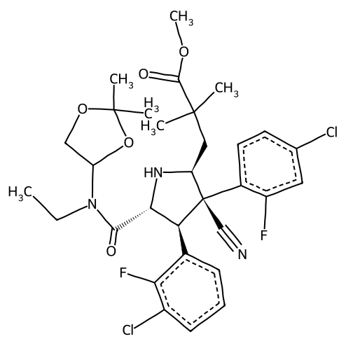 CCN(C(=O)[C@@H]1N[C@@H](CC(C)(C)C(=O)OC)[C@](C#N)(c2ccc(Cl)cc2F)[C@H]1c1cccc(Cl)c1F)C1COC(C)(C)O1